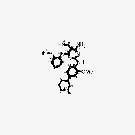 COc1cc(C2CCCN(C)C2)ccc1Nc1nc(N)c(C=N)c(Nc2ccccc2SC(C)C)n1